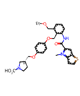 CCOCc1cccc(NC(=O)c2cc3sccc3n2C)c1COc1ccc(OC[C@@H]2CCN(C(=O)O)C2)cc1